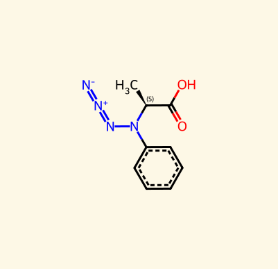 C[C@@H](C(=O)O)N(N=[N+]=[N-])c1ccccc1